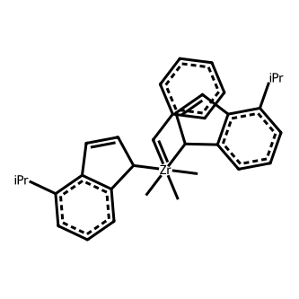 CC(C)c1cccc2c1C=C[CH]2[Zr]([CH3])([CH3])([CH3])(=[CH]c1ccccc1)[CH]1C=Cc2c(C(C)C)cccc21